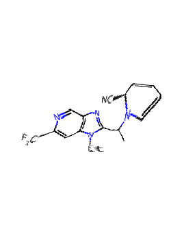 CCn1c(C(C)N2C=CC=C[C@@H]2C#N)nc2cnc(C(F)(F)F)cc21